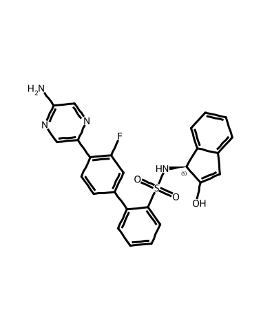 Nc1cnc(-c2ccc(-c3ccccc3S(=O)(=O)N[C@@H]3C(O)=Cc4ccccc43)cc2F)cn1